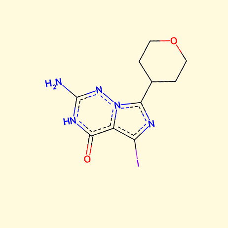 Nc1nn2c(C3CCOCC3)nc(I)c2c(=O)[nH]1